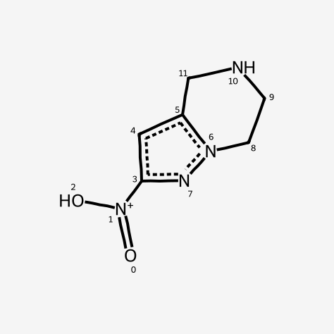 O=[N+](O)c1cc2n(n1)CCNC2